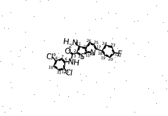 Nc1c(C(=O)Nc2cc(Cl)ccc2Cl)sc2nc(-c3ccc(F)cc3)ccc12